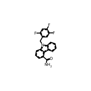 NC(=O)c1cccc2c1c1[c]cccc1n2Cc1cc(F)c(F)cc1F